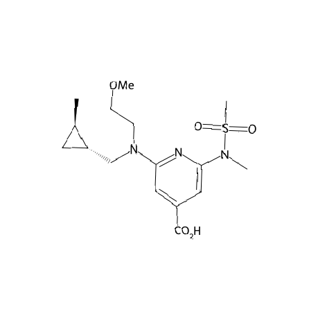 COCCN(C[C@@H]1C[C@H]1C)c1cc(C(=O)O)cc(N(C)S(C)(=O)=O)n1